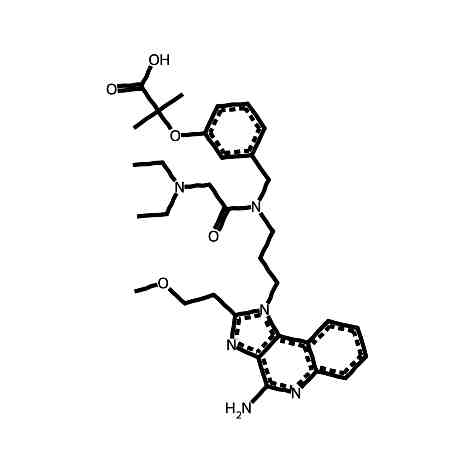 CCN(CC)CC(=O)N(CCCn1c(CCOC)nc2c(N)nc3ccccc3c21)Cc1cccc(OC(C)(C)C(=O)O)c1